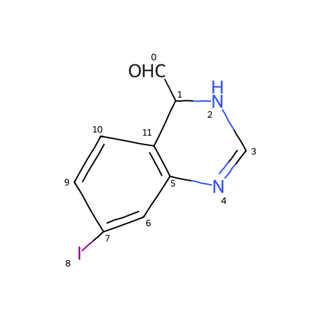 O=CC1NC=Nc2cc(I)ccc21